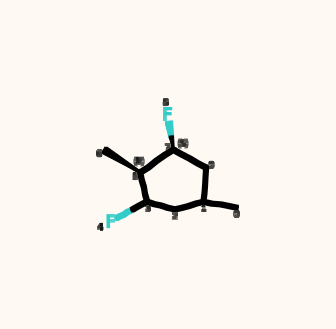 CC1CC(F)[C@@H](C)[C@@H](F)C1